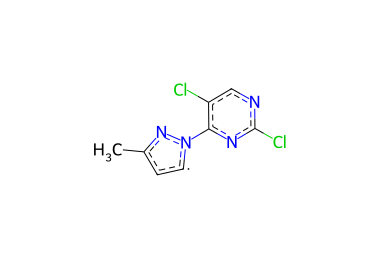 Cc1c[c]n(-c2nc(Cl)ncc2Cl)n1